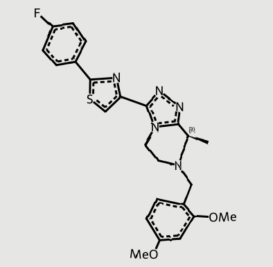 COc1ccc(CN2CCn3c(-c4csc(-c5ccc(F)cc5)n4)nnc3[C@H]2C)c(OC)c1